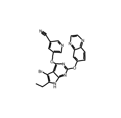 CCc1[nH]c2nc(Oc3ccc4nccnc4c3)nc(Oc3cncc(C#N)c3)c2c1Br